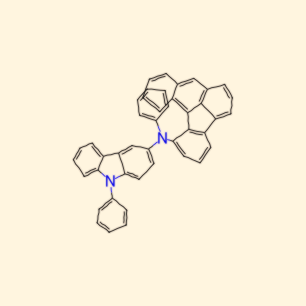 c1ccc(N(c2ccc3c(c2)c2ccccc2n3-c2ccccc2)c2cccc3c2-c2c4ccccc4cc4cccc-3c24)cc1